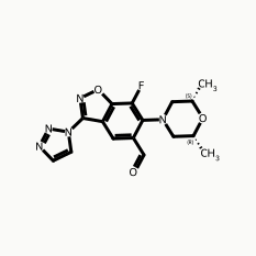 C[C@@H]1CN(c2c(C=O)cc3c(-n4ccnn4)noc3c2F)C[C@H](C)O1